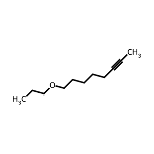 CC#CCCCCCO[CH]CC